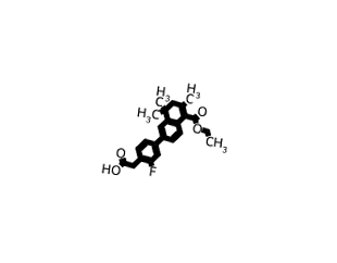 CCOC(=O)C1=C(C)CC(C)(C)c2cc(-c3ccc(CC(=O)O)c(F)c3)ccc21